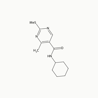 CSc1ncc(C(=O)NC2CCCCC2)c(C)n1